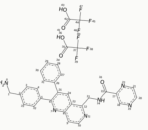 NCc1ccc(-c2nc3ccnc(CNC(=O)c4cnccn4)c3cc2-c2ccccc2)cc1.O=C(O)C(F)(F)F.O=C(O)C(F)(F)F